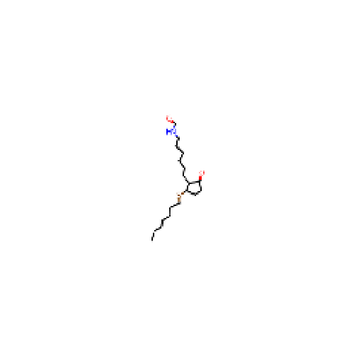 CCCCCCCSC1CCC(=O)C1CCCCCCNC=O